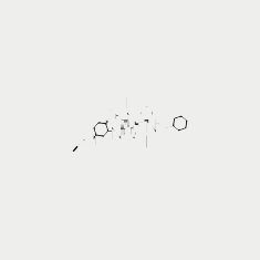 C#CCOc1ccc2c(c1)N(C)C(=O)[C@@H](NC(=O)C(=O)NCCc1ccccc1)CO2